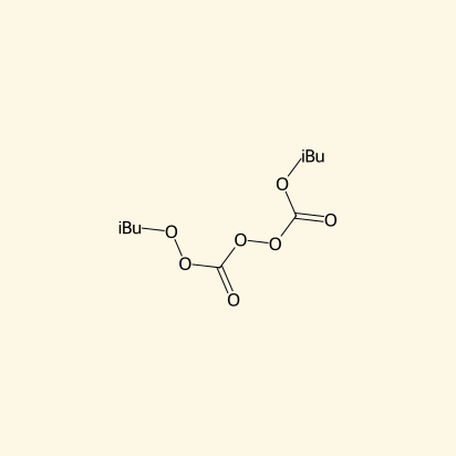 CCC(C)OOC(=O)OOC(=O)OC(C)CC